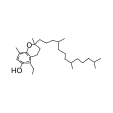 CCc1c(O)cc(C)c2c1CCC(C)(CCCC(C)CCCC(C)CCCC(C)C)O2